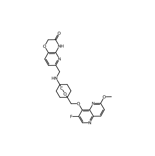 COc1ccc2ncc(F)c(OCC34CCC(NCc5ccc6c(n5)NC(=O)CO6)(CC3)CO4)c2n1